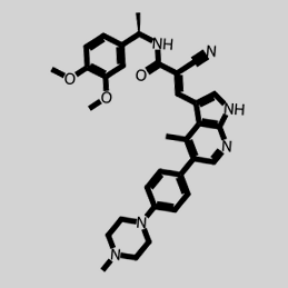 COc1ccc([C@@H](C)NC(=O)/C(C#N)=C/c2c[nH]c3ncc(-c4ccc(N5CCN(C)CC5)cc4)c(C)c23)cc1OC